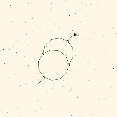 CN1CCCN2CCCN(CCCN(C(C)(C)C)CC2)CC1